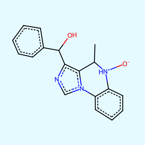 CC1c2c(C(O)c3ccccc3)ncn2-c2ccccc2[NH+]1[O-]